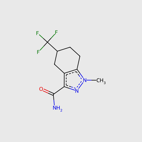 Cn1nc(C(N)=O)c2c1CCC(C(F)(F)F)C2